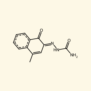 CC1=CC(=NNC(N)=O)C(=O)c2ccccc21